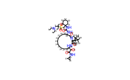 CCN(CC)CC(C)(C)S(=O)(=O)CC1(NC(=O)N[C@H]2CCCCCCCCCC[C@@H](C(=O)C(=O)NC3CC3)NC(=O)[C@@H]3[C@@H]4[C@H](CN3C2=O)C4(C)C)CCCCC1